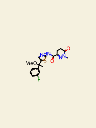 COC(C)(c1cccc(F)c1)c1cnc(NC(=O)C2=NN(C)C(=O)CC2)s1